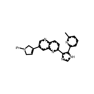 Cc1cccc(-c2[nH]cnc2-c2ccc3ncc(C4=CCN(C(C)C)C4)cc3n2)n1